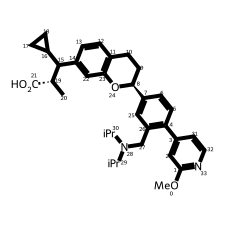 COc1cc(-c2ccc([C@@H]3CCc4ccc(C(C5CC5)[C@H](C)C(=O)O)cc4O3)cc2CN(C(C)C)C(C)C)ccn1